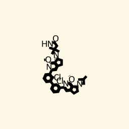 COc1nc(-c2cccc(-c3cccc(-c4cc5c(c(OC)n4)[C@@H](N4CC(C)C4)CC5)c3Cl)c2Cl)cc2c1[C@H](N1CC3(CNC(=O)C3)C1)CC2